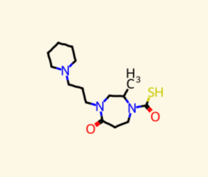 CC1CN(CCCN2CCCCC2)C(=O)CCN1C(=O)S